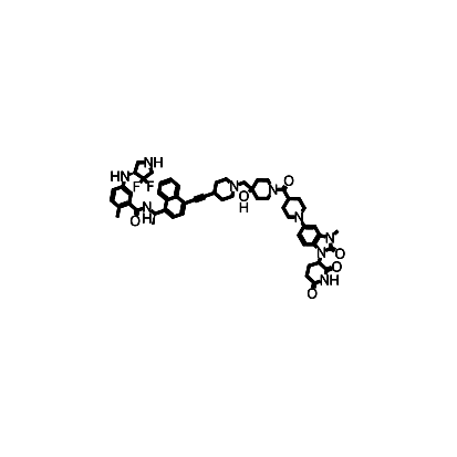 Cc1ccc(N[C@H]2CNCC2(F)F)cc1C(=O)N[C@H](C)c1ccc(C#CC2CCN(CC3(O)CCN(C(=O)C4CCN(c5ccc6c(c5)n(C)c(=O)n6C5CCC(=O)NC5=O)CC4)CC3)CC2)c2ccccc12